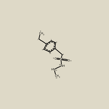 CCc1ccc(CS(=O)(=O)NNC)cc1